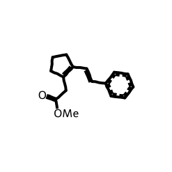 COC(=O)CC1=C(C=Cc2ccccc2)CCC1